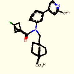 COc1cc(-c2cccc(N(CC34CCC(C(=O)O)(CC3)CC4)C(=O)C34CC(F)(C3)C4)c2)ccn1